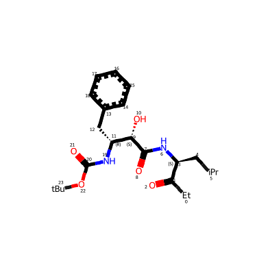 CCC(=O)[C@H](CC(C)C)NC(=O)[C@@H](O)[C@@H](Cc1ccccc1)NC(=O)OC(C)(C)C